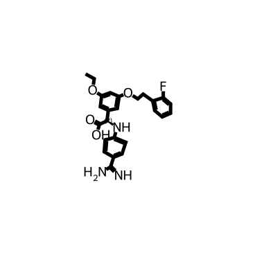 CCOc1cc(OCCc2ccccc2F)cc([C@@H](Nc2ccc(C(=N)N)cc2)C(=O)O)c1